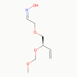 C=C[C@H](COC/C=N\O)OCOC